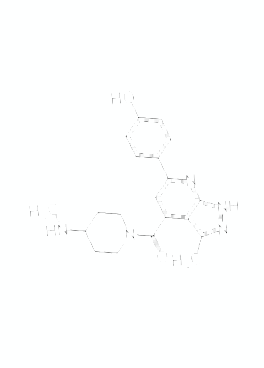 CNC1CCN(C(=O)c2cc(-c3ccc(O)cc3)nc3[nH]nc(C)c23)CC1